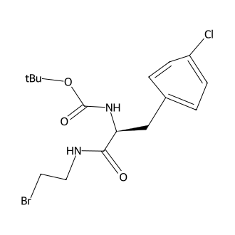 CC(C)(C)OC(=O)N[C@@H](Cc1ccc(Cl)cc1)C(=O)NCCBr